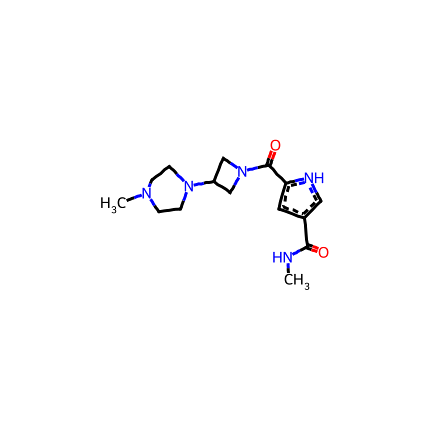 CNC(=O)c1c[nH]c(C(=O)N2CC(N3CCN(C)CC3)C2)c1